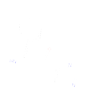 N=c1cc(-c2ccncn2)oc2ccccc12